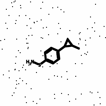 CC1CC1c1ccc(SN)cc1